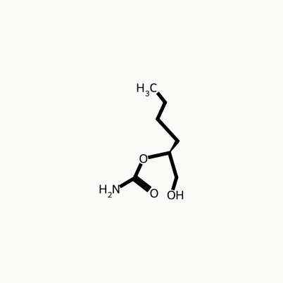 CCCC[C@@H](CO)OC(N)=O